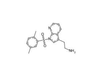 Cc1ccc(C)c(S(=O)(=O)n2cc(CCN)c3cccnc32)c1